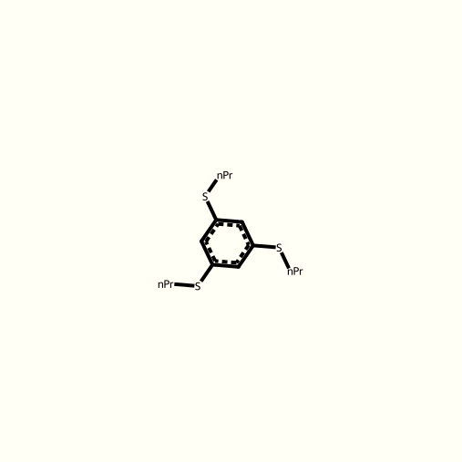 CCCSc1cc(SCCC)cc(SCCC)c1